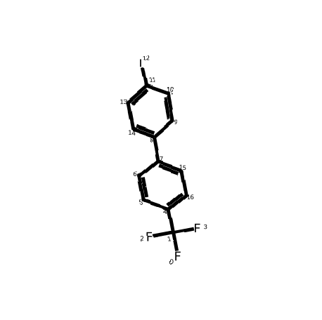 FC(F)(F)c1ccc(-c2c[c]c(I)cc2)cc1